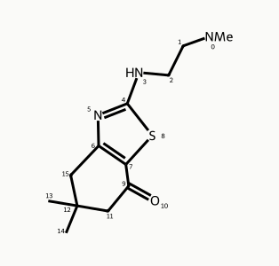 CNCCNc1nc2c(s1)C(=O)CC(C)(C)C2